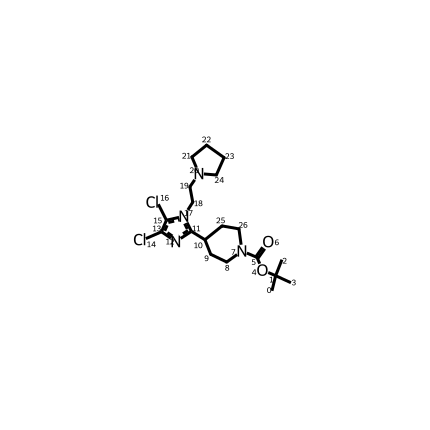 CC(C)(C)OC(=O)N1CCC(c2nc(Cl)c(Cl)n2CCN2CCCC2)CC1